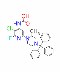 CC1CN(C(c2ccccc2)(c2ccccc2)c2ccccc2)CCN1c1cc(NC(=O)O)c(Cl)c(F)n1